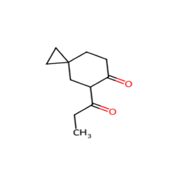 CCC(=O)C1CC2(CCC1=O)CC2